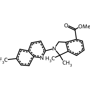 COC(=O)c1cccc2c1CN(c1ccc3cc(C(F)(F)F)ccc3n1)C2(C)C